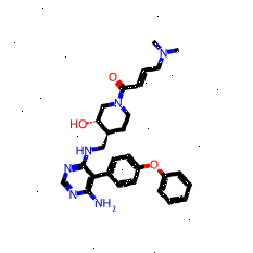 CN(C)CC=CC(=O)N1CC[C@@H](CNc2ncnc(N)c2-c2ccc(Oc3ccccc3)cc2)[C@H](O)C1